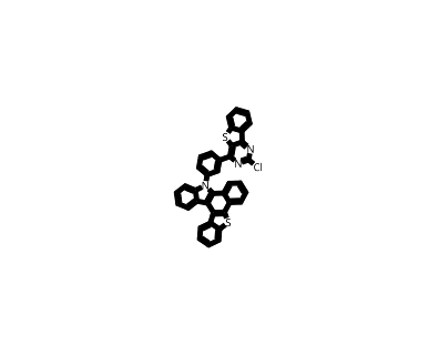 Clc1nc(-c2cccc(-n3c4ccccc4c4c5c6ccccc6sc5c5ccccc5c43)c2)c2sc3ccccc3c2n1